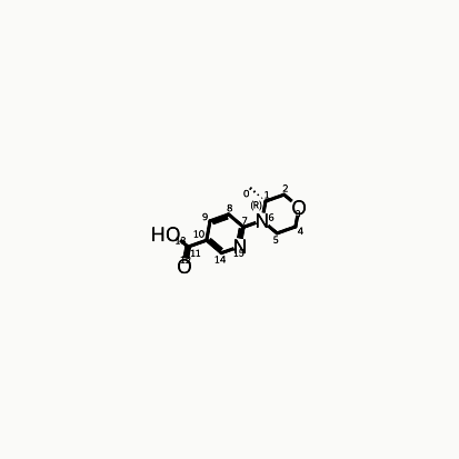 C[C@@H]1COCCN1c1ccc(C(=O)O)cn1